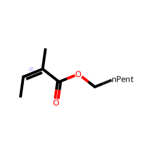 C/C=C(/C)C(=O)OCCCCCC